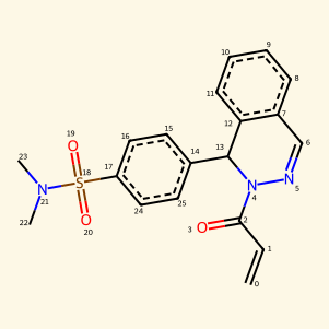 C=CC(=O)N1N=Cc2ccccc2C1c1ccc(S(=O)(=O)N(C)C)cc1